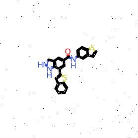 O=C(Nc1ccc2sccc2c1)c1cc2c(c(-c3cc4ccccc4s3)c1)NNC2